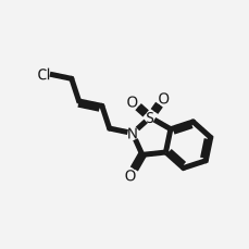 O=C1c2ccccc2S(=O)(=O)N1CC=CCCl